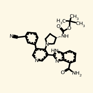 CC(C)(C)OC(=O)N[C@H]1CCN(c2c(-c3cccc(C#N)c3)cncc2-c2nc3c(C(N)=O)cccc3[nH]2)C1